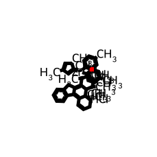 Cl.Cl.[CH2]=[Zr]([C]1=CC(C)=CC1C)([c]1ccc(C)cc1)([c]1ccc(C)cc1)[C]1(C)C2=C3Cc4ccccc4C3=C3C=CCCC3C2(C)C(C)(C)C(C)(C)C1(C)C